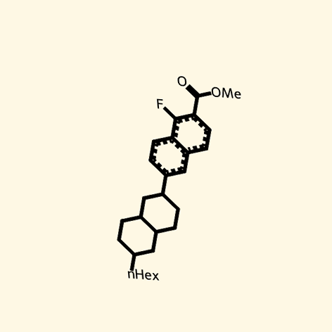 CCCCCCC1CCC2CC(c3ccc4c(F)c(C(=O)OC)ccc4c3)CCC2C1